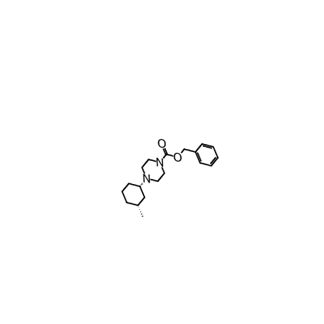 C[C@@H]1CCC[C@H](N2CCN(C(=O)OCc3ccccc3)CC2)C1